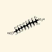 O=S(=O)(O)C(F)(F)C(F)(F)C(F)(F)C(F)(F)C(F)(F)C(F)(F)C(F)(F)C(F)(F)S(=O)(=O)O